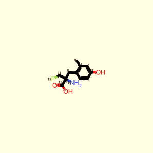 Cc1cc(O)ccc1CC(N)(CF)C(=O)O